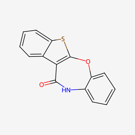 O=C1Nc2ccccc2Oc2sc3ccccc3c21